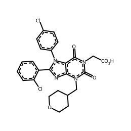 O=C(O)Cn1c(=O)c2c(nc(-c3ccccc3Cl)n2-c2ccc(Cl)cc2)n(CC2CCOCC2)c1=O